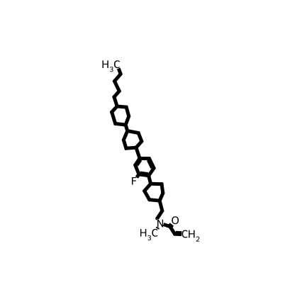 C=CC(=O)N(C)CCC1CCC(c2ccc(C3CCC(C4CCC(CCCCC)CC4)CC3)cc2F)CC1